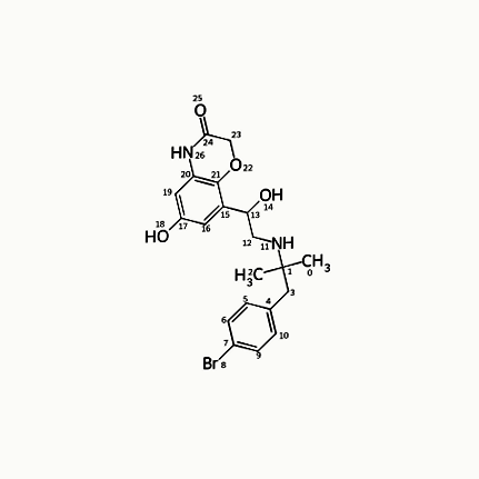 CC(C)(Cc1ccc(Br)cc1)NCC(O)c1cc(O)cc2c1OCC(=O)N2